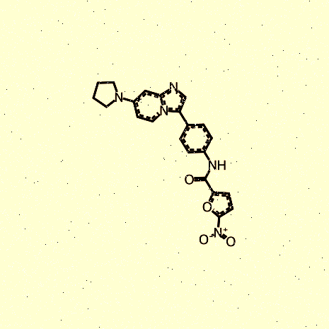 O=C(Nc1ccc(-c2cnc3cc(N4CCCC4)ccn23)cc1)c1ccc([N+](=O)[O-])o1